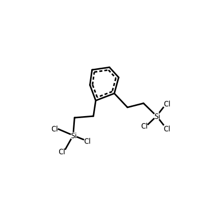 Cl[Si](Cl)(Cl)CCc1ccccc1CC[Si](Cl)(Cl)Cl